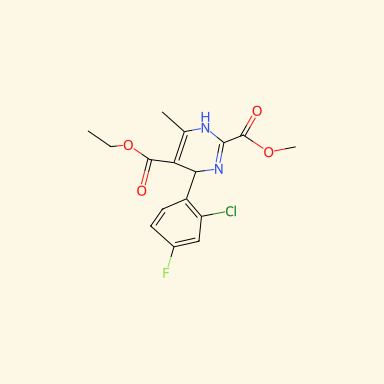 CCOC(=O)C1=C(C)NC(C(=O)OC)=NC1c1ccc(F)cc1Cl